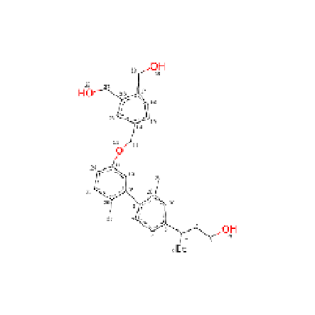 CCC(CCO)c1ccc(-c2cc(OCc3ccc(CO)c(CO)c3)ccc2C)c(C)c1